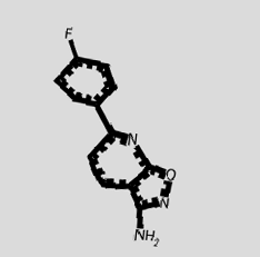 Nc1noc2nc(-c3ccc(F)cc3)ccc12